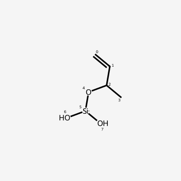 C=CC(C)O[Si](O)O